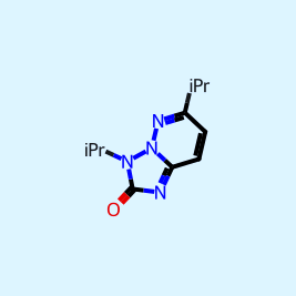 CC(C)c1ccc2nc(=O)n(C(C)C)n2n1